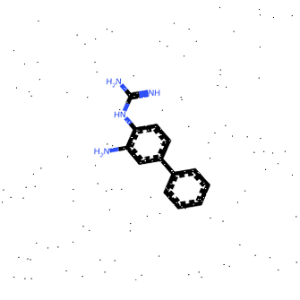 N=C(N)Nc1ccc(-c2ccccc2)cc1N